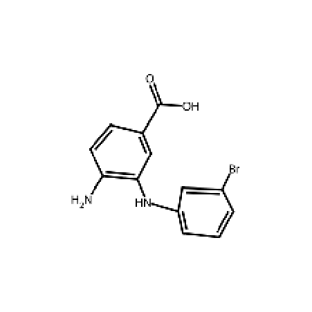 Nc1ccc(C(=O)O)cc1Nc1cccc(Br)c1